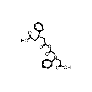 O=C(O)CN(CC(=O)OC(=O)CN(CC(=O)O)c1ccccc1)c1ccccc1